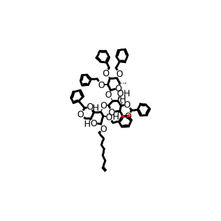 C=CCCCCCCO[C@@H]1O[C@@H]2COC(c3ccccc3)O[C@@H]2[C@H](O[C@@H]2O[C@@H]3COC(c4ccccc4)O[C@@H]3[C@H](O)[C@H]2O[C@@H]2O[C@@H](C)[C@@H](OCc3ccccc3)[C@@H](OCc3ccccc3)[C@@H]2OCc2ccccc2)[C@H]1OCc1ccccc1